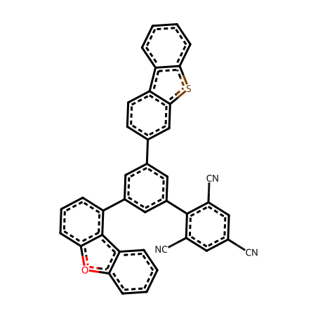 N#Cc1cc(C#N)c(-c2cc(-c3ccc4c(c3)sc3ccccc34)cc(-c3cccc4oc5ccccc5c34)c2)c(C#N)c1